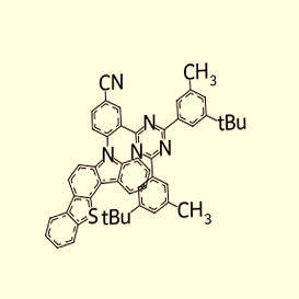 Cc1cc(-c2nc(-c3cc(C)cc(C(C)(C)C)c3)nc(-c3cc(C#N)ccc3-n3c4ccccc4c4c5sc6ccccc6c5ccc43)n2)cc(C(C)(C)C)c1